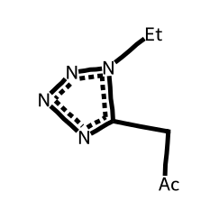 CCn1nnnc1CC(C)=O